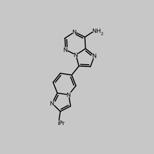 CC(C)c1cn2cc(-c3cnc4c(N)ncnn34)ccc2n1